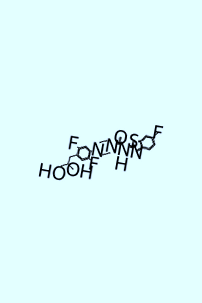 O=C(Nc1nc2ccc(F)cc2s1)N1CCN(c2cc(F)c(C[C@@H](O)CO)cc2F)CC1